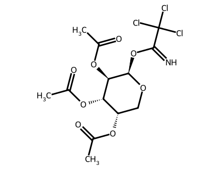 CC(=O)O[C@@H]1[C@@H](OC(C)=O)[C@@H](OC(=N)C(Cl)(Cl)Cl)OC[C@@H]1OC(C)=O